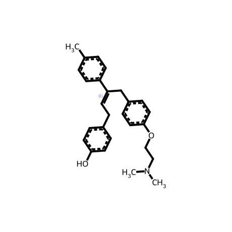 Cc1ccc(/C(=C/Cc2ccc(O)cc2)Cc2ccc(OCCN(C)C)cc2)cc1